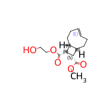 COC(=O)[C@H]1[C@@H]2CC/C=C/CC[C@H]2[C@H]1C(=O)OCCO